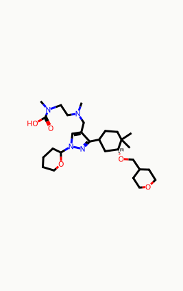 CN(CCN(C)C(=O)O)Cc1cn(C2CCCCO2)nc1C1CCC(C)(C)[C@H](OCC2CCOCC2)C1